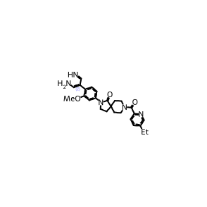 CCc1ccc(C(=O)N2CCC3(CC2)CCN(c2ccc(/C(C=N)=C/N)c(OC)c2)C3=O)nc1